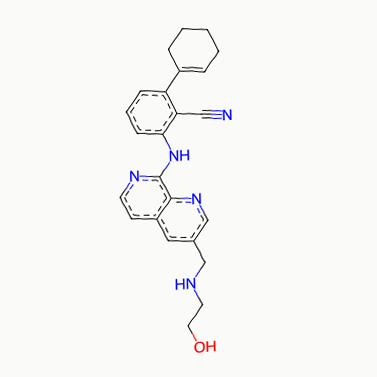 N#Cc1c(Nc2nccc3cc(CNCCO)cnc23)cccc1C1=CCCCC1